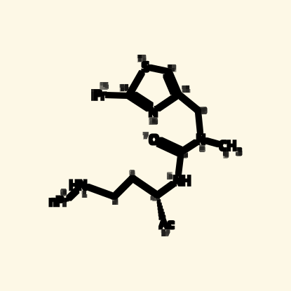 CCCNCC[C@H](NC(=O)N(C)Cc1csc(C(C)C)n1)C(C)=O